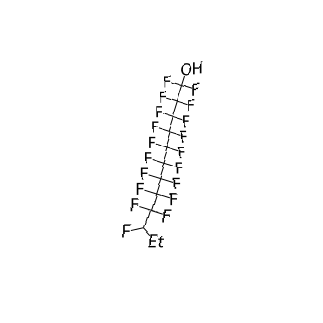 CCC(F)C(F)(F)C(F)(F)C(F)(F)C(F)(F)C(F)(F)C(F)(F)C(F)(F)C(F)(F)C(O)(F)F